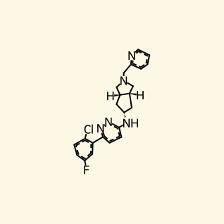 Fc1ccc(Cl)c(-c2ccc(N[C@@H]3C[C@@H]4CN(Cc5ccccn5)C[C@@H]4C3)nn2)c1